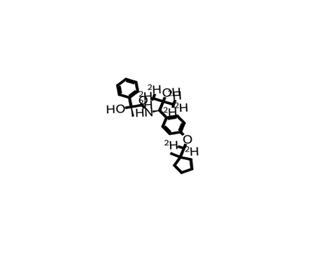 [2H]C([2H])([2H])C(O)([C@H](NC(=O)[C@](C)(O)c1ccccc1)c1ccc(OC([2H])([2H])C2(C)CCCC2)cc1)C([2H])([2H])[2H]